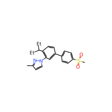 CCC(CC)c1ccc(-c2ccc(S(C)(=O)=O)cc2)cc1-n1ccc(C)n1